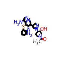 CC(=O)N1CC[C@@H](n2cc(-c3cc(Sc4ccccc4N)c4c(N)cnn4c3)cn2)[C@H](O)C1